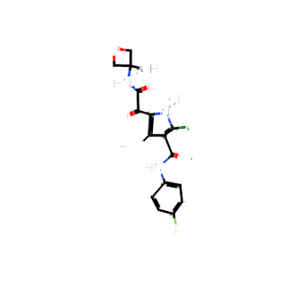 Cc1c(C(=O)Nc2ccc(F)cc2)c(Cl)n(C)c1C(=O)C(=O)NC1(C)COC1